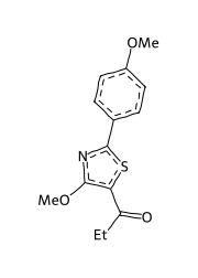 CCC(=O)c1sc(-c2ccc(OC)cc2)nc1OC